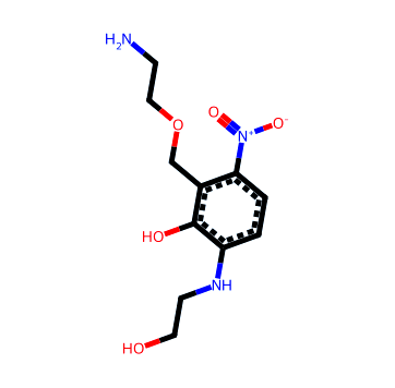 NCCOCc1c([N+](=O)[O-])ccc(NCCO)c1O